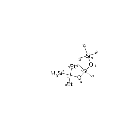 CCC([SiH3])(CC)O[Si](C)(C)O[Si](C)(C)C